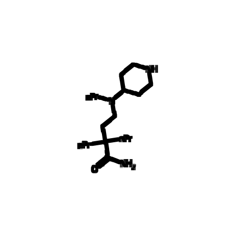 CCCN(CCC(CCC)(CCC)C(N)=O)C1CCNCC1